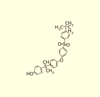 CC(C)(C)c1ccc(S(=O)(=O)c2ccc(Oc3ccc(S(C)(C)c4ccc(O)cc4)cc3)cc2)cc1